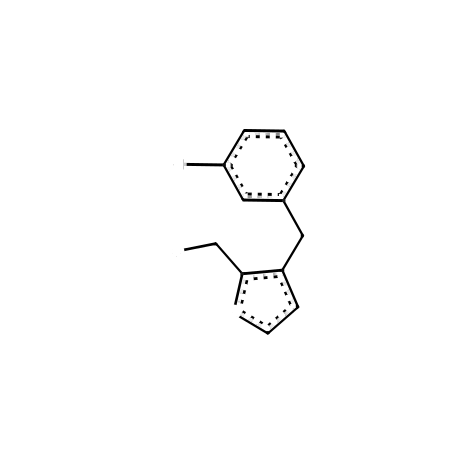 OCc1sccc1Cc1cccc(Cl)c1